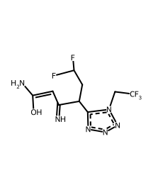 N=C(/C=C(/N)O)C(CC(F)F)c1nnnn1CC(F)(F)F